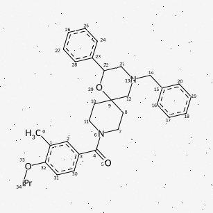 Cc1cc(C(=O)N2CCC3(CC2)CN(Cc2ccccc2)CC(c2ccccc2)O3)ccc1OC(C)C